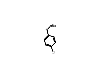 CCCC[N]c1ccc(Cl)cc1